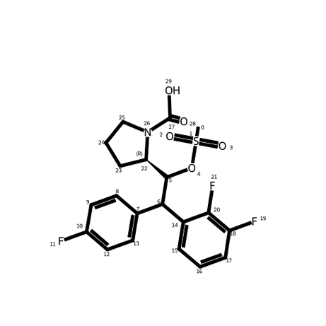 CS(=O)(=O)OC(C(c1ccc(F)cc1)c1cccc(F)c1F)[C@H]1CCCN1C(=O)O